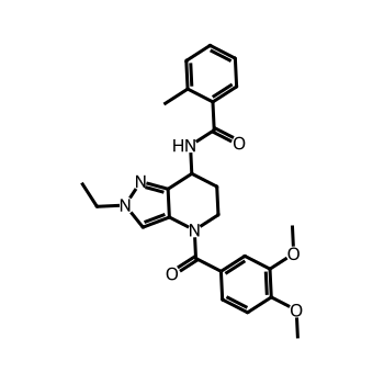 CCn1cc2c(n1)C(NC(=O)c1ccccc1C)CCN2C(=O)c1ccc(OC)c(OC)c1